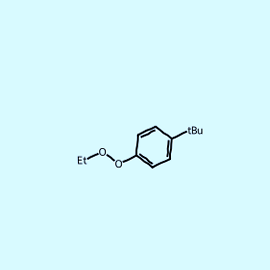 CCOOc1ccc(C(C)(C)C)cc1